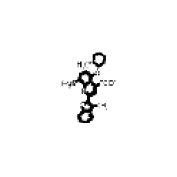 Cc1c(-c2cc(C(=O)[O-])c3c(O[C@H]4CCCC[C@H]4C)ccc(C)c3n2)sc2ccccc12.[Na+]